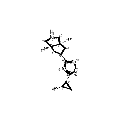 F[C@H]1C[C@H]1c1nc([C@@H]2C[C@H]3CNC[C@H]3C2)no1